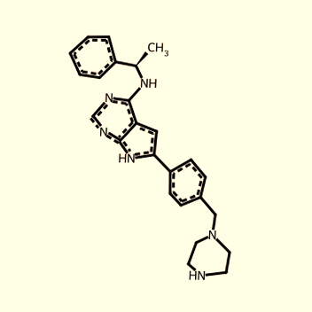 C[C@@H](Nc1ncnc2[nH]c(-c3ccc(CN4CCNCC4)cc3)cc12)c1ccccc1